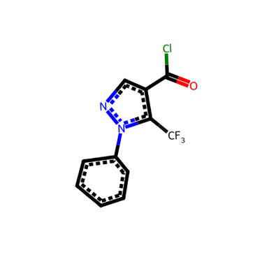 O=C(Cl)c1cnn(-c2ccccc2)c1C(F)(F)F